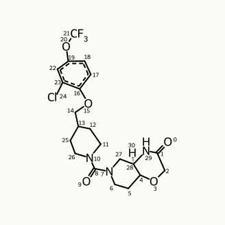 O=C1COC2CCN(C(=O)N3CCC(COc4ccc(OC(F)(F)F)cc4Cl)CC3)C[C@H]2N1